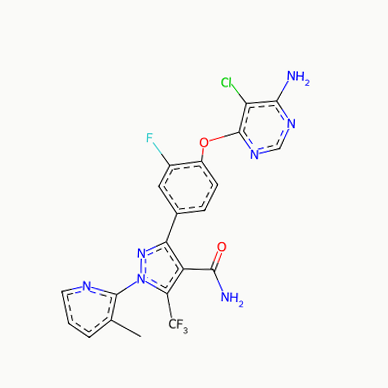 Cc1cccnc1-n1nc(-c2ccc(Oc3ncnc(N)c3Cl)c(F)c2)c(C(N)=O)c1C(F)(F)F